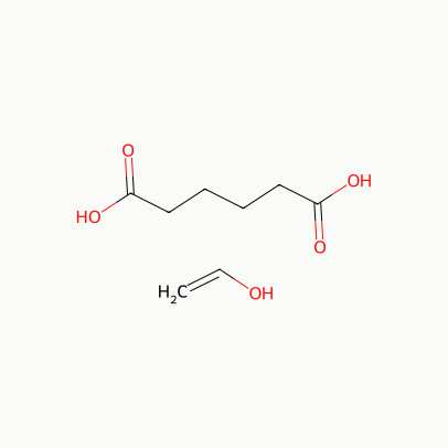 C=CO.O=C(O)CCCCC(=O)O